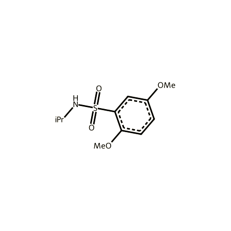 COc1ccc(OC)c(S(=O)(=O)NC(C)C)c1